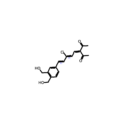 CC(=O)C(=C/C=C(Cl)/C=C/c1ccc(CO)c(CO)c1)C(C)=O